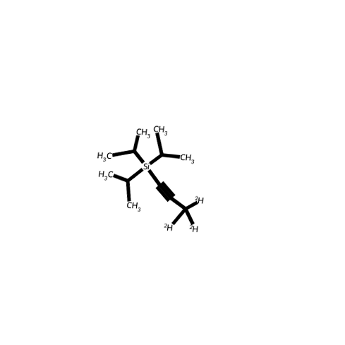 [2H]C([2H])([2H])C#C[Si](C(C)C)(C(C)C)C(C)C